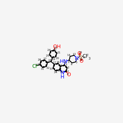 O=c1cc(NC2CCN(S(=O)(=O)C(F)(F)F)CC2)c2cc(C(c3ccc(O)cc3)c3ccc(Cl)cc3)ccc2[nH]1